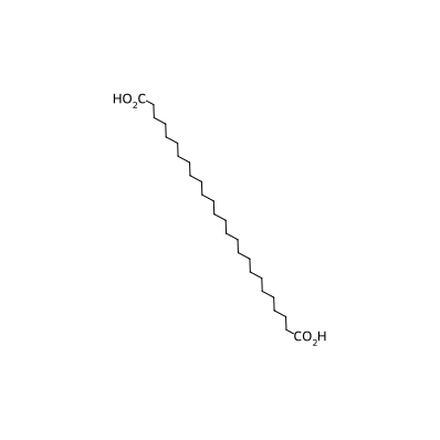 O=C(O)CCCCCCCCCCCCCCCCCCCCCCCCC(=O)O